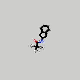 CC(C)(C)C(=O)NC1Cc2ccccc2C1